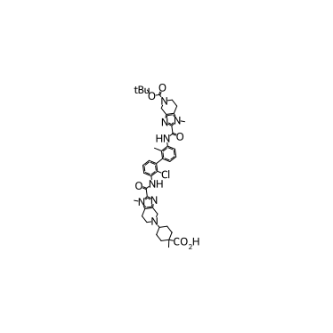 Cc1c(NC(=O)c2nc3c(n2C)CCN(C(=O)OC(C)(C)C)C3)cccc1-c1cccc(NC(=O)c2nc3c(n2C)CCN(C2CCC(C)(C(=O)O)CC2)C3)c1Cl